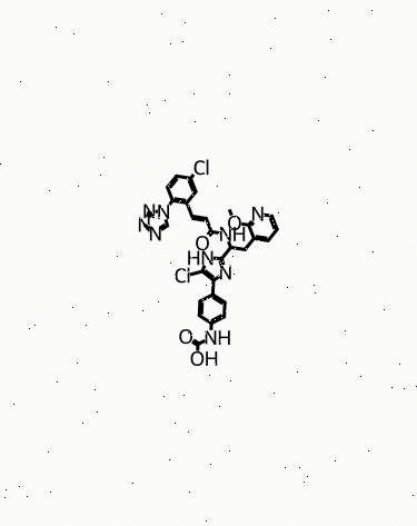 COc1ncccc1CC(NC(=O)C=Cc1cc(Cl)ccc1-n1cnnn1)c1nc(-c2ccc(NC(=O)O)cc2)c(Cl)[nH]1